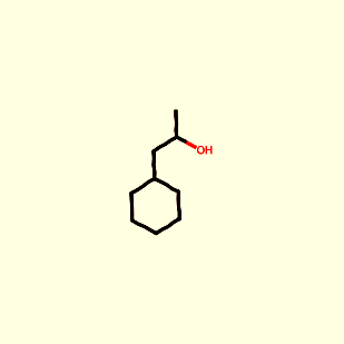 CC(O)CC1CCCCC1